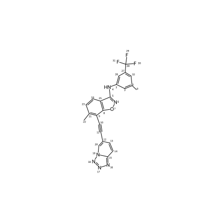 Cc1cc(Nc2noc3c(C#Cc4ccc5nnnn5c4)c(C)ccc23)cc(C(F)(F)F)c1